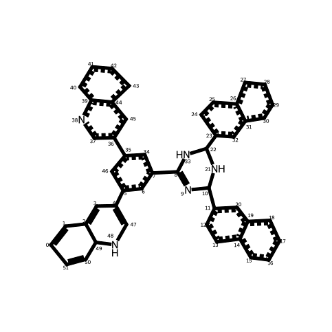 C1=CC2=CC(c3cc(C4=NC(c5ccc6ccccc6c5)NC(c5ccc6ccccc6c5)N4)cc(-c4cnc5ccccc5c4)c3)=CNC2C=C1